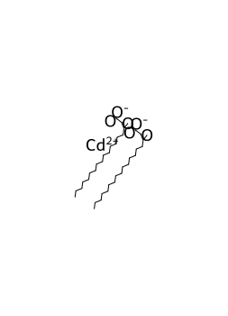 CCCCCCCCCCCCCCCC1OC1C(=O)[O-].CCCCCCCCCCCCCCCC1OC1C(=O)[O-].[Cd+2]